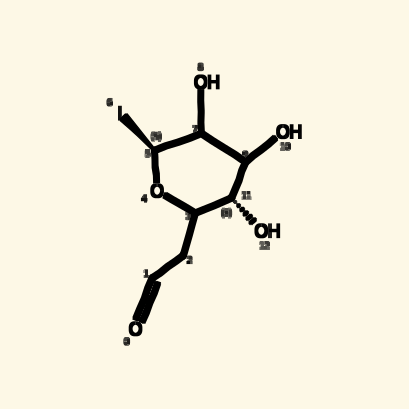 O=CCC1O[C@@H](I)C(O)C(O)[C@@H]1O